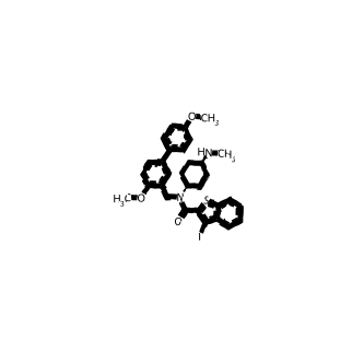 CN[C@H]1CC[C@H](N(Cc2cc(-c3ccc(OC)cc3)ccc2OC)C(=O)c2sc3ccccc3c2I)CC1